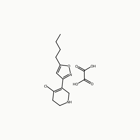 CCCCc1cc(C2=C(Cl)CCNC2)no1.O=C(O)C(=O)O